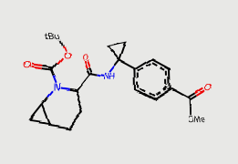 COC(=O)c1ccc(C2(NC(=O)C3CCC4CC4N3C(=O)OC(C)(C)C)CC2)cc1